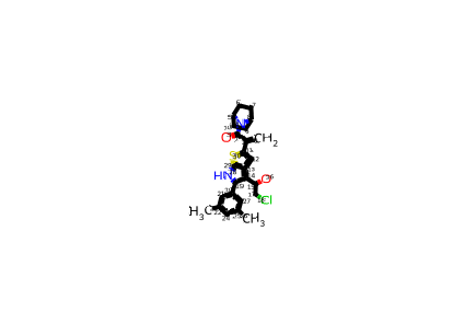 C=C(C(=O)N1C2CCC1CC2)c1cc2c(C(=O)CCl)c(-c3cc(C)cc(C)c3)[nH]c2s1